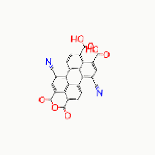 N#Cc1cc(C(=O)O)c2c(C(=O)O)ccc3c4c(C#N)cc5c6c(ccc(c1c23)c64)C(=O)OC5=O